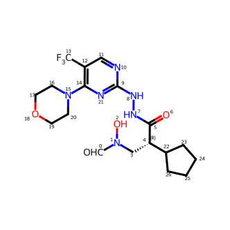 O=CN(O)C[C@H](C(=O)NNc1ncc(C(F)(F)F)c(N2CCOCC2)n1)C1CCCC1